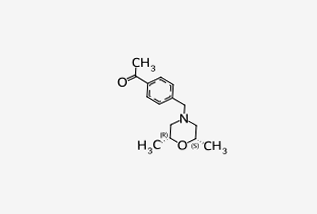 CC(=O)c1ccc(CN2C[C@@H](C)O[C@@H](C)C2)cc1